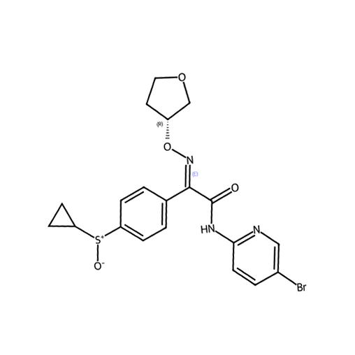 O=C(Nc1ccc(Br)cn1)/C(=N/O[C@@H]1CCOC1)c1ccc([S+]([O-])C2CC2)cc1